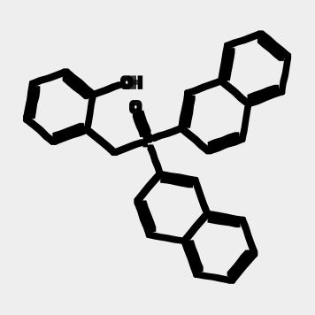 O=P(Cc1ccccc1O)(c1ccc2ccccc2c1)c1ccc2ccccc2c1